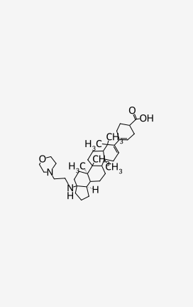 CC1(C)C(C2=CCC(C(=O)O)CC2)=CCC2(C)C1CCC1(C)C2CCC2[C@H]3CCCC3(NCCN3CCOCC3)CC[C@]21C